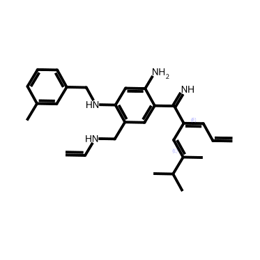 C=C/C=C(\C=C(/C)C(C)C)C(=N)c1cc(CNC=C)c(NCc2cccc(C)c2)cc1N